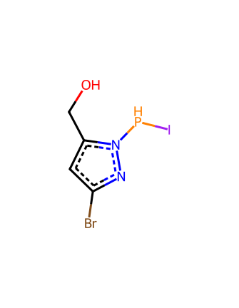 OCc1cc(Br)nn1PI